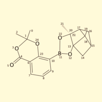 CC1(C)OC(=O)c2cccc(B3OC45CC6CC(C64C)[C@]5(C)O3)c2O1